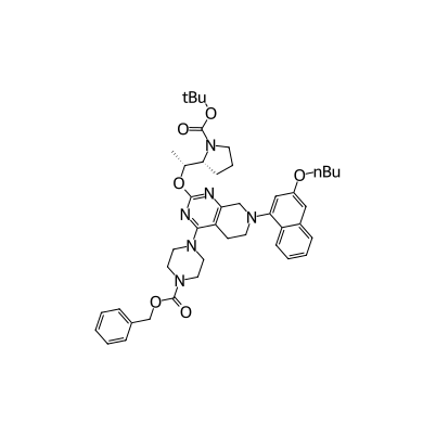 CCCCOc1cc(N2CCc3c(nc(O[C@H](C)[C@H]4CCCN4C(=O)OC(C)(C)C)nc3N3CCN(C(=O)OCc4ccccc4)CC3)C2)c2ccccc2c1